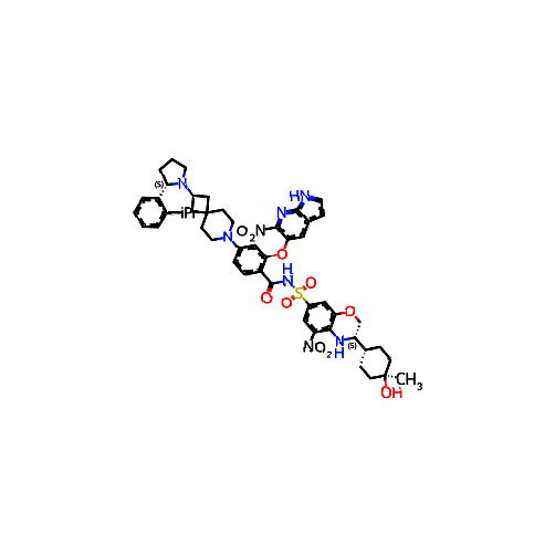 CC(C)c1ccccc1[C@@H]1CCCN1C1CC2(CCN(c3ccc(C(=O)NS(=O)(=O)c4cc5c(c([N+](=O)[O-])c4)N[C@@H]([C@H]4CC[C@](C)(O)CC4)CO5)c(Oc4cc5cc[nH]c5nc4[N+](=O)[O-])c3)CC2)C1